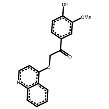 COc1cc(C(=O)CSc2ccnc3ccccc23)ccc1O